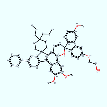 CCCC1(CCC)CCC2(CC1)c1cc(-c3ccccc3)ccc1-c1c2c2c(c3cc(OC)c(OC)cc13)OC(c1ccc(OC)cc1)(c1ccc(OCCO)cc1)C=C2